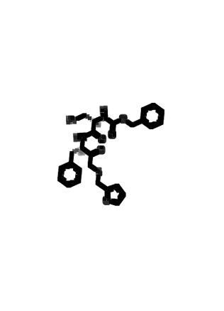 CC(C)C[C@H](NC(=O)OCc1ccccc1)C(=O)N[C@@H](Cc1ccccc1)C(=O)CSCc1ccco1